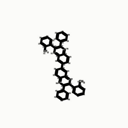 Cc1ccccc1-c1nc2cc(-c3ccc4nc(-c5ccccc5)c(-c5ccccc5C(F)(F)F)nc4c3)ccc2nc1-c1ccccc1